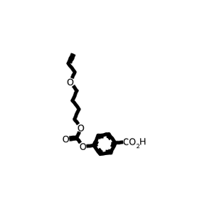 C=CCOCCCCOC(=O)Oc1ccc(C(=O)O)cc1